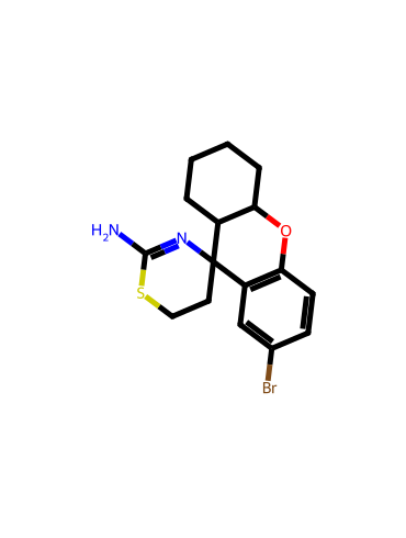 NC1=NC2(CCS1)c1cc(Br)ccc1OC1CCCCC12